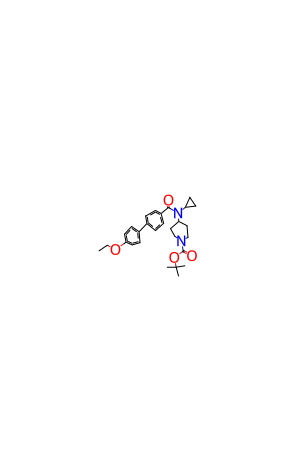 CCOc1ccc(-c2ccc(C(=O)N(C3CC3)C3CCN(C(=O)OC(C)(C)C)CC3)cc2)cc1